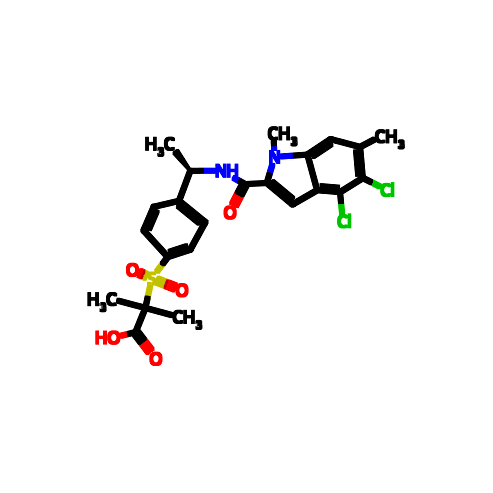 Cc1cc2c(cc(C(=O)N[C@H](C)c3ccc(S(=O)(=O)C(C)(C)C(=O)O)cc3)n2C)c(Cl)c1Cl